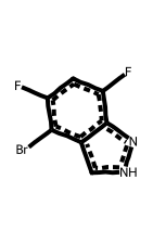 Fc1cc(F)c2n[nH]cc2c1Br